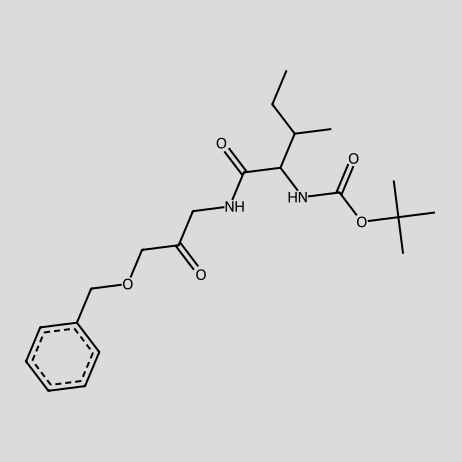 CCC(C)C(NC(=O)OC(C)(C)C)C(=O)NCC(=O)COCc1ccccc1